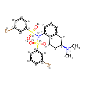 CN(C)[C@H]1CCc2c(cccc2N(S(=O)(=O)c2cccc(Br)c2)S(=O)(=O)c2cccc(Br)c2)C1